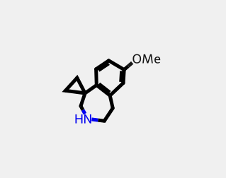 COc1ccc2c(c1)CCNCC21CC1